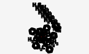 C1N2CN3CN1CN(C2)C3.C=C.C=C.C=C.C=C.C=C.CC(C)([CH2][Sn]([CH2]C(C)(C)c1ccccc1)([CH2]C(C)(C)c1ccccc1)[O][Sn]([CH2]C(C)(C)c1ccccc1)([CH2]C(C)(C)c1ccccc1)[CH2]C(C)(C)c1ccccc1)c1ccccc1